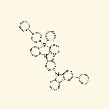 c1ccc(-c2ccc([Si]3(c4ccccc4)c4ccccc4-n4c5ccc(-n6c7ccccc7c7cc(-c8ccccc8)ccc76)cc5c5cccc3c54)cc2)cc1